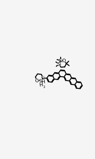 CC1(C)CC[Si](C)(C)[Si](C)(C)O1.c1ccc2cc3cc4c(ccc5cc6cc([SiH]7CCCO[SiH2]7)ccc6cc54)cc3cc2c1